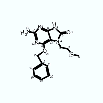 CSCCn1c(=O)[nH]c2nc(N)nc(OCc3ccccc3)c21